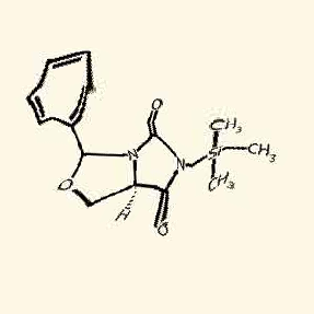 C[Si](C)(C)N1C(=O)[C@H]2COC(c3ccccc3)N2C1=O